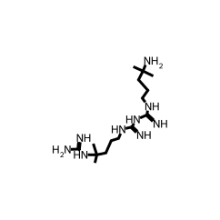 CC(C)(N)CCCNC(=N)NC(=N)NCCCC(C)(C)NC(=N)N